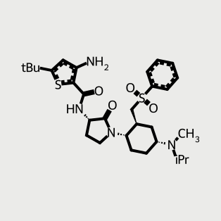 CC(C)N(C)[C@@H]1CC[C@H](N2CC[C@H](NC(=O)c3sc(C(C)(C)C)cc3N)C2=O)[C@@H](CS(=O)(=O)c2ccccc2)C1